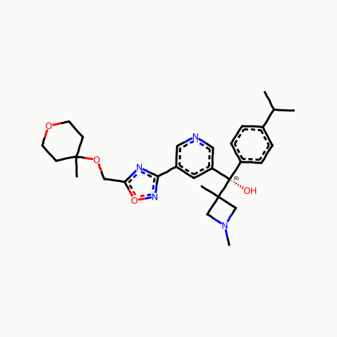 CC(C)c1ccc([C@](O)(c2cncc(-c3noc(COC4(C)CCOCC4)n3)c2)C2(C)CN(C)C2)cc1